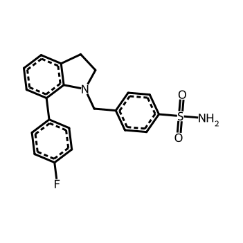 NS(=O)(=O)c1ccc(CN2CCc3cccc(-c4ccc(F)cc4)c32)cc1